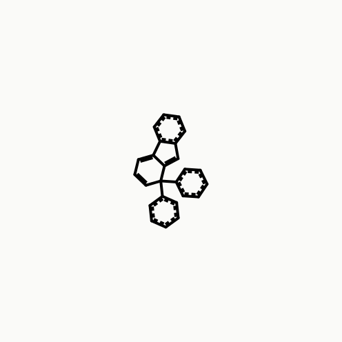 C1=CC(c2ccccc2)(c2ccccc2)C2=Cc3ccccc3C2=C1